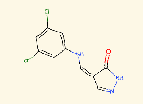 O=C1NN=C/C1=C/Nc1cc(Cl)cc(Cl)c1